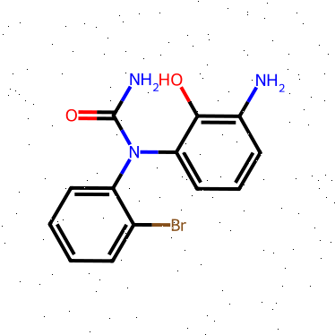 NC(=O)N(c1ccccc1Br)c1cccc(N)c1O